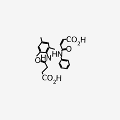 Cc1cc(C)c(NC(=O)CCC(=O)O)c(C)c1.O=C(O)/C=C\C(=O)Nc1ccccc1